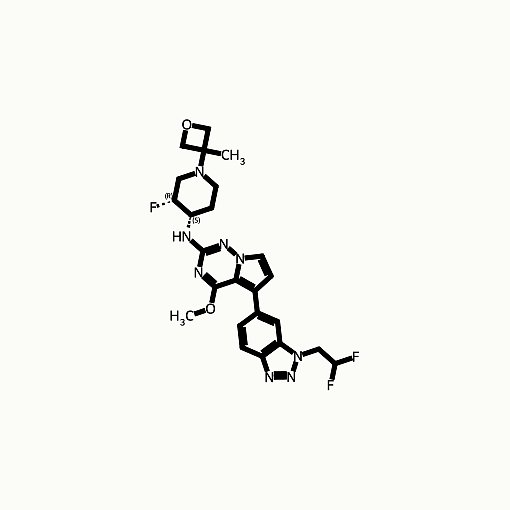 COc1nc(N[C@H]2CCN(C3(C)COC3)C[C@H]2F)nn2ccc(-c3ccc4nnn(CC(F)F)c4c3)c12